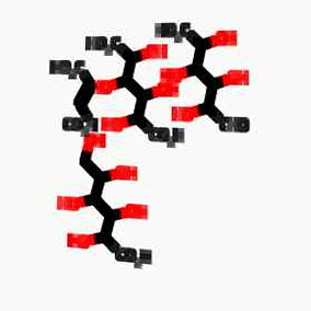 O=C(O)/C=C/C(=O)O.O=C(O)C(O)C(O)C(O)C(O)C(=O)O.O=C(O)C(O)C(O)C(O)C(O)CO.O=CC(O)C(O)C(O)C(O)C(=O)O